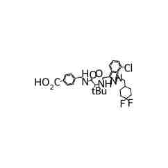 CC(C)(C)C(NC(=O)c1nn(CC2CCC(F)(F)CC2)c2c(Cl)cccc12)C(=O)NCc1ccc(C(=O)O)cc1